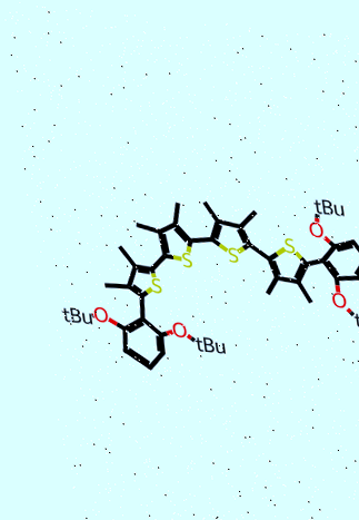 Cc1c(-c2sc(-c3sc(-c4c(OC(C)(C)C)cccc4OC(C)(C)C)c(C)c3C)c(C)c2C)sc(-c2sc(-c3c(OC(C)(C)C)cccc3OC(C)(C)C)c(C)c2C)c1C